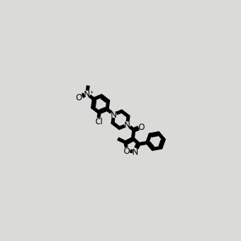 Cc1onc(-c2ccccc2)c1C(=O)N1CCN(c2ccc([N+](C)=O)cc2Cl)CC1